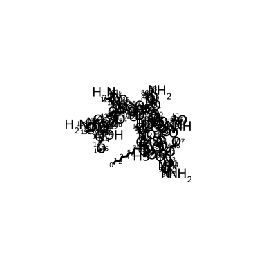 CCCCCCCCC[C@H]1O[C@@H](n2cc(C)c(N)nc2=O)CC1OP(=O)(S)OC[C@H]1O[C@@H](n2cnc3c(N)ncnc32)C(OCCOC)C1OP(=O)(S)OC[C@H]1O[C@@H](n2cc(C)c(=O)[nH]c2=O)C(OCCOC)C1OP(=O)(O)OC[C@H]1O[C@@H](n2cc(C)c(N)nc2=O)C(OCCOC)C1OP(C)(=O)OC[C@H]1O[C@@H](n2cc(C)c(N)nc2=O)C(OCCOC)C1OP(C)(=O)OC[C@H]1O[C@@H](n2cc(C)c(N)nc2=O)[C@@H](OCCOC)[C@H]1O